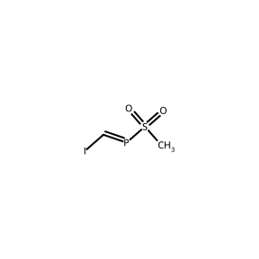 CS(=O)(=O)P=CI